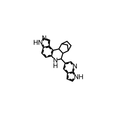 c1cc2cc(C3Nc4ccc5[nH]ncc5c4C4C5CCC(C5)C34)cnc2[nH]1